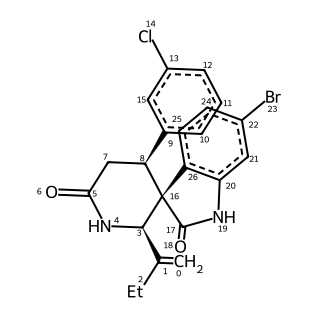 C=C(CC)[C@H]1NC(=O)C[C@@H](c2cccc(Cl)c2)[C@]12C(=O)Nc1cc(Br)ccc12